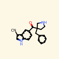 [C-]#[N+]c1c[nH]c2ccc(C(=O)C3(Cc4ccccc4)CCNC3)cc12